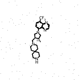 C[C@@H]1CN(c2ccc(C(F)(F)F)c3nccnc23)CC1CN1CCC2(CCNCC2)CC1